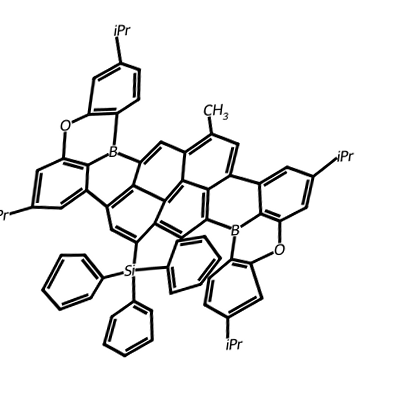 Cc1cc2c3c(cc4c([Si](c5ccccc5)(c5ccccc5)c5ccccc5)cc5c6c(cc1c3c46)B1c3ccc(C(C)C)cc3Oc3cc(C(C)C)cc-5c31)B1c3ccc(C(C)C)cc3Oc3cc(C(C)C)cc-2c31